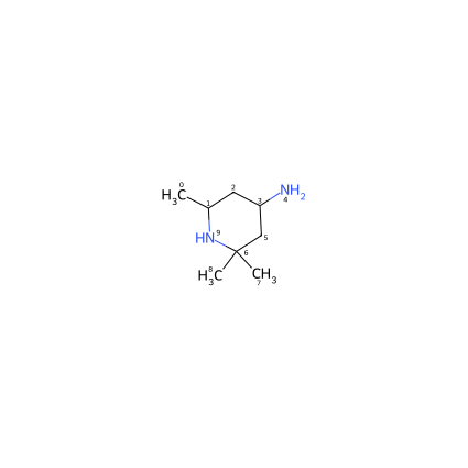 CC1CC(N)CC(C)(C)N1